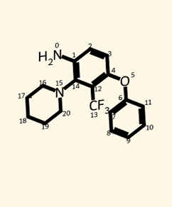 Nc1ccc(Oc2ccccc2)c(C(F)(F)F)c1N1C[CH]CCC1